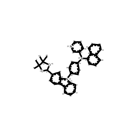 CC1(C)OC(c2ccc3c4ccccc4n(-c4ccc(N(c5cccnc5)c5cccc6ccccc56)cc4)c3c2)OC1(C)C